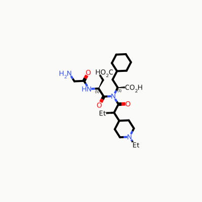 CCC(C(=O)N(C(=O)[C@H](CC(=O)O)NC(=O)CN)[C@@H](CC1CCCCC1)C(=O)O)C1CCN(CC)CC1